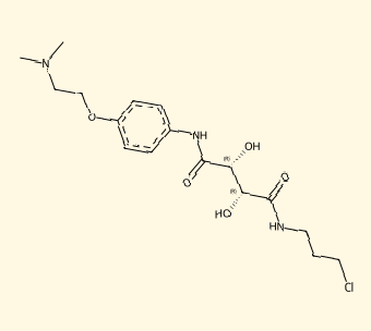 CN(C)CCOc1ccc(NC(=O)[C@H](O)[C@@H](O)C(=O)NCCCCl)cc1